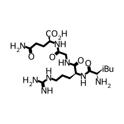 CC[C@H](C)[C@H](N)C(=O)N[C@@H](CCCNC(=N)N)C(=O)NCC(=O)N[C@@H](CCC(N)=O)C(=O)O